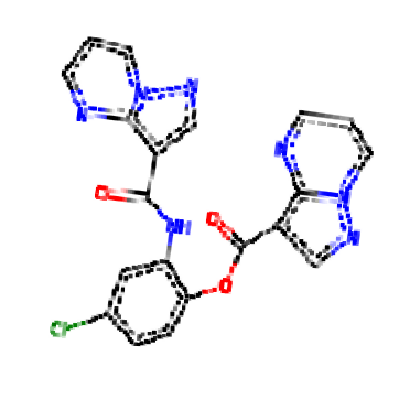 O=C(Nc1cc(Cl)ccc1OC(=O)c1cnn2cccnc12)c1cnn2cccnc12